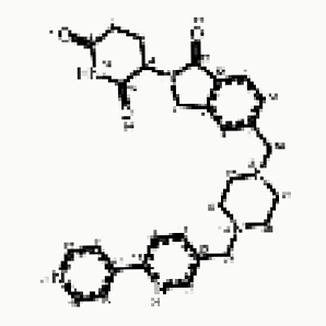 O=C1CCC(N2Cc3cc(CN4CCN(Cc5ccc(-c6ccncc6)nc5)CC4)ccc3C2=O)C(=O)N1